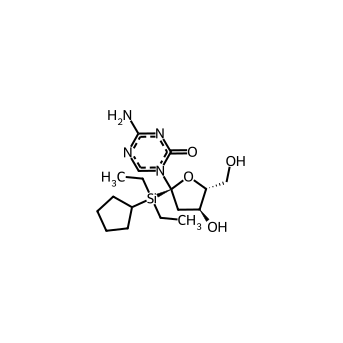 CC[Si](CC)(C1CCCC1)[C@]1(n2cnc(N)nc2=O)C[C@H](O)[C@@H](CO)O1